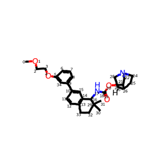 COCCOc1cccc(-c2ccc3c(c2)C(NC(=O)O[C@H]2CN4CCC2CC4)C(C)(C)CC3)c1